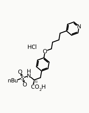 CCCCS(=O)(=O)N[C@@H](Cc1ccc(OCCCCc2ccncc2)cc1)C(=O)O.Cl